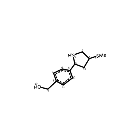 CSC1CNC(c2ccc(CO)cc2)C1